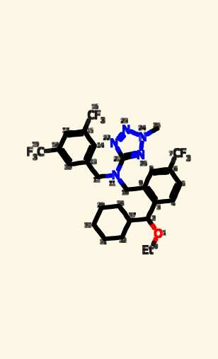 CCOC(c1ccc(C(F)(F)F)cc1CN(Cc1cc(C(F)(F)F)cc(C(F)(F)F)c1)c1nnn(C)n1)C1CCCCC1